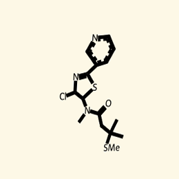 CSC(C)(C)CC(=O)N(C)C1SC(c2cccnc2)=NC1Cl